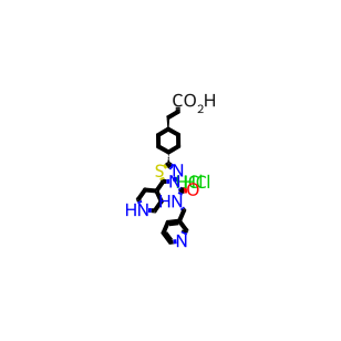 Cl.Cl.O=C(O)CC[C@H]1CC[C@H](C2=NN(C(=O)NCc3cccnc3)C(C3CCNCC3)S2)CC1